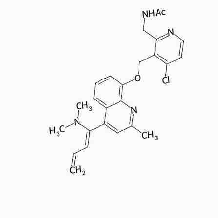 C=C/C=C(/c1cc(C)nc2c(OCc3c(Cl)ccnc3CNC(C)=O)cccc12)N(C)C